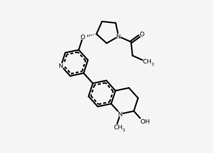 CCC(=O)N1CC[C@@H](Oc2cncc(-c3ccc4c(c3)CCC(O)N4C)c2)C1